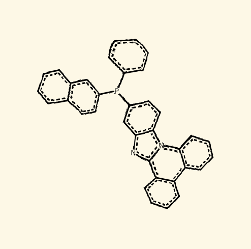 c1ccc(P(c2ccc3ccccc3c2)c2ccc3c(c2)nc2c4ccccc4c4ccccc4n32)cc1